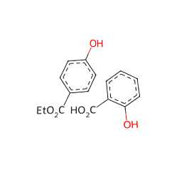 CCOC(=O)c1ccc(O)cc1.O=C(O)c1ccccc1O